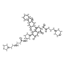 O=C(CCNCCN1CCCC1)N[C@@H]1CCN(c2c(F)cc3c(=O)c(C(=O)NCCCN4CCOCC4)cn4c3c2Oc2cc3c(cc2-4)oc2ccccc23)C1